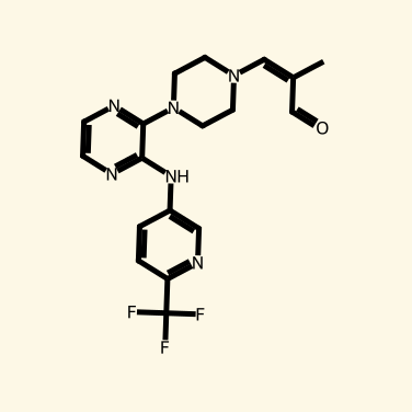 CC(C=O)=CN1CCN(c2nccnc2Nc2ccc(C(F)(F)F)nc2)CC1